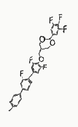 Cc1ccc(-c2ccc(-c3cc(F)c(OCC4COC(c5cc(F)c(F)c(F)c5)OC4)c(F)c3)c(F)c2)cc1